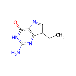 CCC1C=Nc2c1nc(N)[nH]c2=O